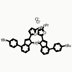 CCCc1ccc(C2=Cc3c(-c4ccc(C(C)(C)C)cc4)cccc3[CH]2[Hf+2][CH]2C(c3ccc(CCC)o3)=Cc3c(-c4ccc(C(C)(C)C)cc4)cccc32)o1.[Cl-].[Cl-]